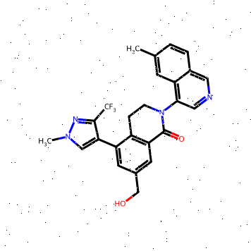 Cc1ccc2cncc(N3CCc4c(cc(CO)cc4-c4cn(C)nc4C(F)(F)F)C3=O)c2c1